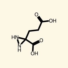 O=C(O)CCC1(C(=O)O)NN1